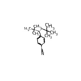 CC(C)(C)C[C@H](c1ccc(C#N)cc1)C(C)(C)C